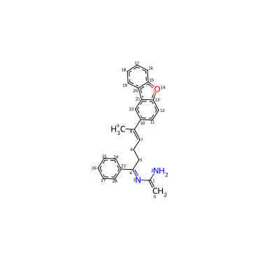 C=C(N)/N=C(\CC/C=C(\C)c1ccc2oc3ccccc3c2c1)c1ccccc1